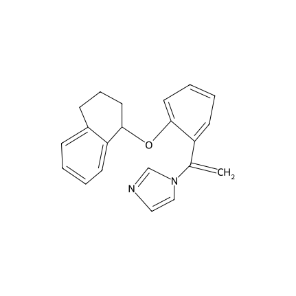 C=C(c1ccccc1OC1CCCc2ccccc21)n1ccnc1